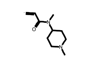 [CH]=CC(=O)N(C)C1CCN(C)CC1